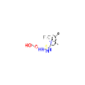 Cc1cc(-c2nnc(NCCOCCO)s2)nc2c(C(F)(F)F)cc(C3CC3)cc12